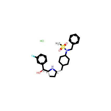 CS(=O)(=O)N(Cc1ccccc1)C1CCC(C[C@@H]2CC[C@H]([C@@H](O)c3cccc(F)c3)N2)CC1.Cl